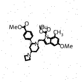 COC(=O)c1ccc([C@@H]2CC(N3CCC3)CCN2Cc2cc3cc(OC)cc(C)c3n2C(=O)OC(C)(C)C)cc1